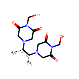 C[C@H]([C@H](C)N1CC(=O)N(CO)C(=O)C1)N1CC(=O)N(CO)C(=O)C1